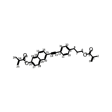 C=C(C)C(=O)OCCCc1ccc(C#Cc2ccc3cc(OC(=O)C(=C)C)ccc3c2)cc1